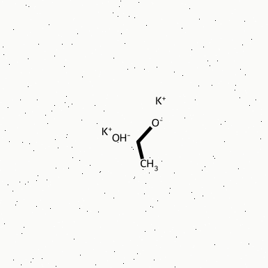 CC[O-].[K+].[K+].[OH-]